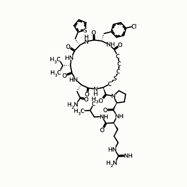 CC(C)CNC(=O)[C@H](CCCNC(=N)N)NC(=O)[C@@H]1CCCN1C(=O)[C@@H]1CSCCCC(=O)N[C@@H](Cc2ccc(Cl)cc2)C(=O)N[C@@H](Cc2cccs2)C(=O)N[C@@H](C(C)C)C(=O)N[C@@H](CC(N)=O)C(=O)N1